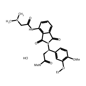 CCOc1cc([C@@H](CC(=O)NC)N2C(=O)c3cccc(NC(=O)CN(C)C)c3C2=O)ccc1OC.Cl